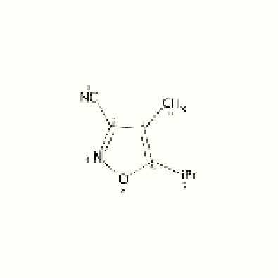 Cc1c(C#N)noc1C(C)C